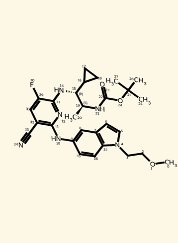 COCCn1ccc2cc(Nc3nc(N[C@H](C4CC4)[C@H](C)NC(=O)OC(C)(C)C)c(F)cc3C#N)ccc21